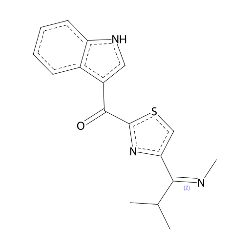 C/N=C(\c1csc(C(=O)c2c[nH]c3ccccc23)n1)C(C)C